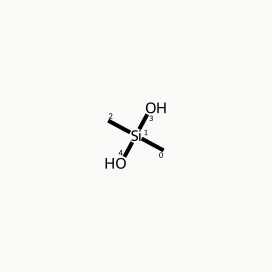 C[Si](C)(O)O